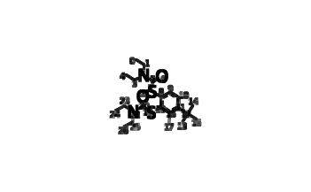 CCN(CC)C(=O)Sc1ccc(C(C)(C)C)c(C)c1SC(=O)N(CC)CC